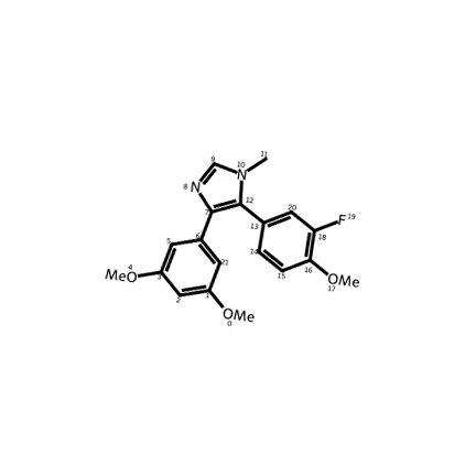 COc1cc(OC)cc(-c2ncn(C)c2-c2ccc(OC)c(F)c2)c1